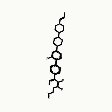 C/C=C(\C(F)=C(\F)CCCC)c1ccc(-c2ccc(C3CCC(C4CCC(/C=C/C)CC4)CC3)cc2F)cc1